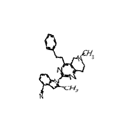 Cc1cc2c(C#N)cccc2n1-c1nc(CCc2ccccc2)c2c(n1)CCN(C)C2